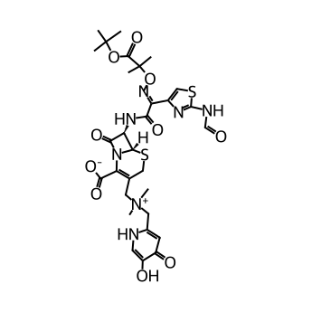 CC(C)(C)OC(=O)C(C)(C)ON=C(C(=O)N[C@@H]1C(=O)N2C(C(=O)[O-])=C(C[N+](C)(C)Cc3cc(=O)c(O)c[nH]3)CS[C@@H]12)c1csc(NC=O)n1